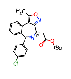 Cc1onc2c1-c1ccccc1C(c1ccc(Cl)cc1)=N[C@H]2CC(=O)OC(C)(C)C